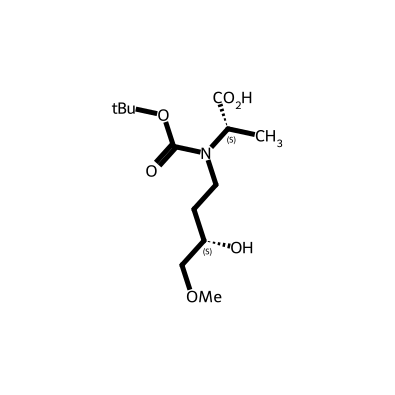 COC[C@@H](O)CCN(C(=O)OC(C)(C)C)[C@@H](C)C(=O)O